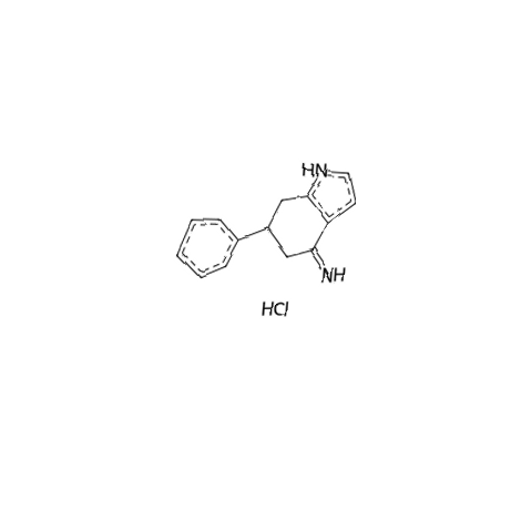 Cl.N=C1CC(c2ccccc2)Cc2[nH]ccc21